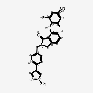 CC(C)n1cc(-c2ccc(CN3Cc4cccc(Oc5c(F)cc(C#N)cc5F)c4C3=O)cn2)cn1